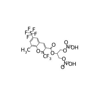 Cc1cc(S(F)(F)(F)(F)F)cc2c1O[C@H](C(F)(F)F)C(C(=O)OC(CO[N+](=O)O)CO[N+](=O)O)=C2